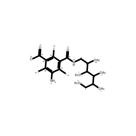 CC(=O)OCC(OC(C)=O)C(OC(C)=O)C(OC(C)=O)C(CNC(=O)c1c(I)c(N)c(I)c(C(=O)Cl)c1I)OC(C)=O